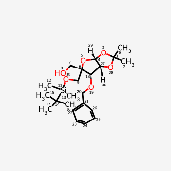 CC1(C)O[C@H]2O[C@@](CO)(CO[Si](C)(C)C(C)(C)C)[C@H](OCc3ccccc3)[C@H]2O1